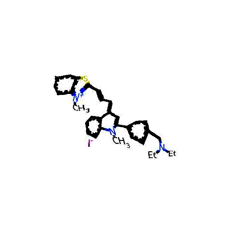 CCN(CC)Cc1ccc(C2=C/C(=C/C=C/c3sc4ccccc4[n+]3C)c3ccccc3N2C)cc1.[I-]